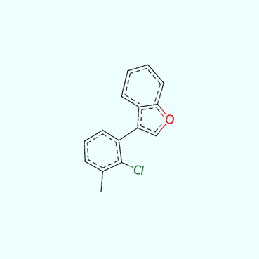 Cc1cccc(-c2coc3ccccc23)c1Cl